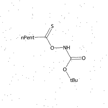 CCCCCC(=S)ONC(=O)OC(C)(C)C